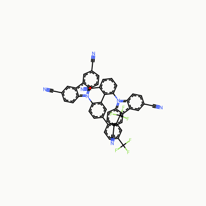 N#Cc1ccc2c(c1)c1cc(C#N)ccc1n2-c1ccc(-c2ccc(C(F)(F)F)cc2C(F)(F)F)cc1-c1c(C#N)cccc1-n1c2ccc(C#N)cc2c2cc(C#N)ccc21